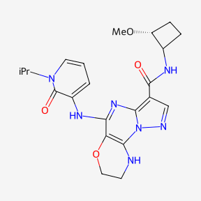 CO[C@@H]1CCC1NC(=O)c1cnn2c3c(c(Nc4cccn(C(C)C)c4=O)nc12)OCCN3